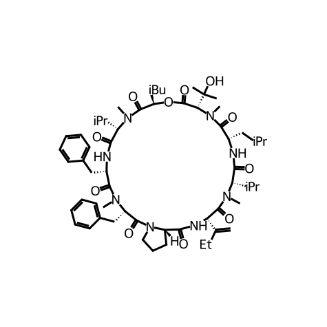 C=C(CC)[C@@H]1NC(=O)[C@@H]2CCCN2C(=O)[C@H](Cc2ccccc2)N(C)C(=O)[C@H](Cc2ccccc2)NC(=O)[C@H](C(C)C)N(C)C(=O)[C@@H](C(C)CC)OC(=O)[C@H](C(C)(C)O)N(C)C(=O)[C@H](CC(C)C)NC(=O)[C@H](C(C)C)N(C)C1=O